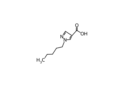 CCCCCn1cc(C(=O)O)cn1